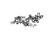 CC(C)c1cc(-c2nnc(O)n2-c2ccc(CN3CCN(C(=O)O)C(c4ccc(COC(=O)Nc5cccc6c5CN(C5CCC(=O)NC5=O)C6=O)cc4)C3)c(F)c2)c(O)cc1O